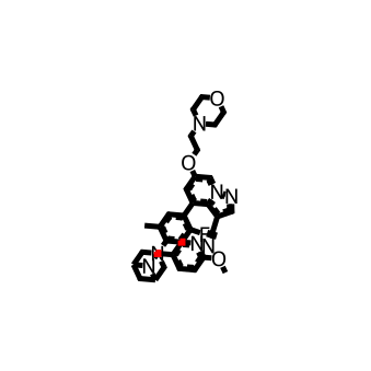 COc1ccc(CN2C3CC2CN(c2cc(F)c(-c4cc(OCCN5CCOCC5)cn5ncc(C#N)c45)cc2C)C3)cn1